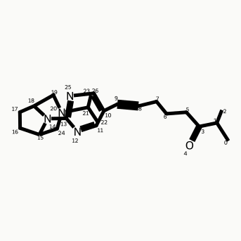 CC(C)C(=O)CCCC#Cc1cnc(N2C3CCC2CN(C(C)C)C3)nc1